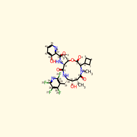 C[C@H]1OC(=O)C(C2CCC2)N(C)C(=O)[C@H](C)[C@H](O)[C@H](Cc2c(F)nc(F)c(F)c2F)NC(=O)[C@H]1NC(=O)c1ncccc1O